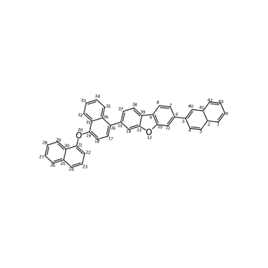 C1=CC2C=CC(c3ccc4c(c3)oc3cc(-c5ccc(Oc6cccc7ccccc67)c6ccccc56)ccc34)=CC2C=C1